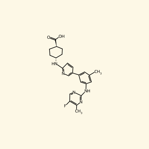 Cc1cc(Nc2ncc(F)c(C)n2)cc(-c2ccc(N[C@H]3CC[C@H](C(=O)O)CC3)nc2)c1